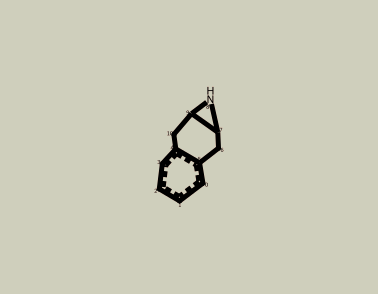 [c]1cccc2c1CC1NC1C2